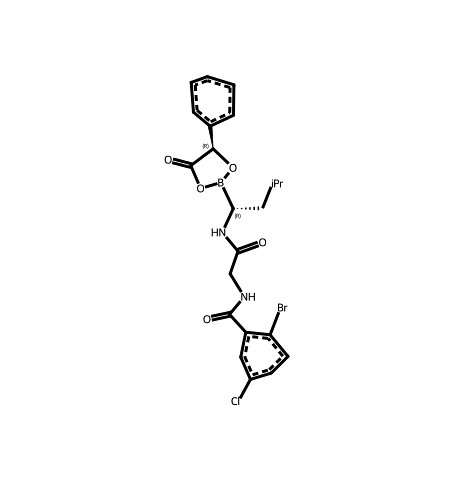 CC(C)C[C@H](NC(=O)CNC(=O)c1cc(Cl)ccc1Br)B1OC(=O)[C@@H](c2ccccc2)O1